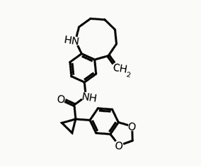 C=C1CCCCCNc2ccc(NC(=O)C3(c4ccc5c(c4)OCO5)CC3)cc21